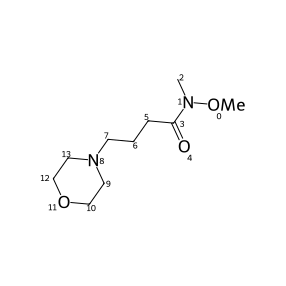 CON(C)C(=O)CCCN1CCOCC1